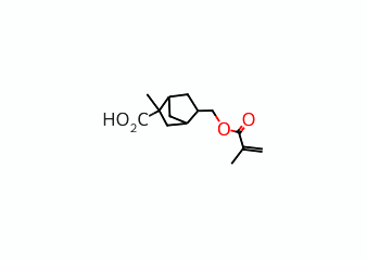 C=C(C)C(=O)OCC1CC2CC1CC2(C)C(=O)O